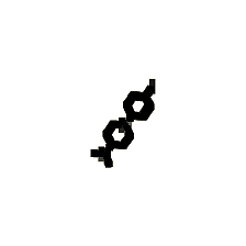 CN(C)C1CCN(C2C=CC(I)=CC2)CC1